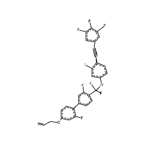 C=CCOc1ccc(-c2ccc(C(F)(F)Oc3ccc(C#Cc4cc(F)c(F)c(F)c4)c(F)c3)c(F)c2)c(F)c1